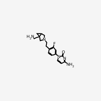 NCC12CC1CN(CCc1ccc(-n3ccc(N)nc3=O)cc1F)C2